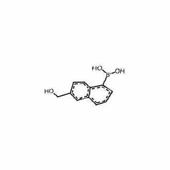 OCc1ccc2c(B(O)O)cccc2c1